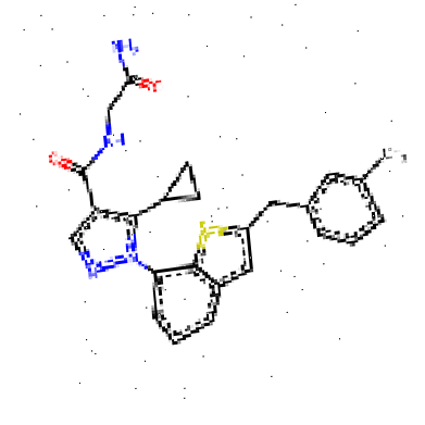 NC(=O)CNC(=O)c1cnn(-c2cccc3cc(Cc4cccc(C(F)(F)F)c4)sc23)c1C1CC1